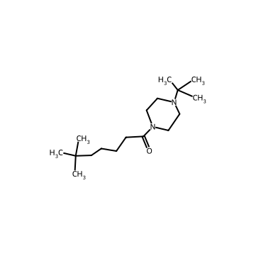 CC(C)(C)CCCCC(=O)N1CCN(C(C)(C)C)CC1